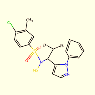 CCC(CC)C(c1ccnn1-c1ccccc1)N(S)S(=O)(=O)c1ccc(Cl)c(C)c1